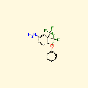 NC1=CC(C(F)(F)F)(C(F)(F)F)C(Oc2ccccc2)C=C1